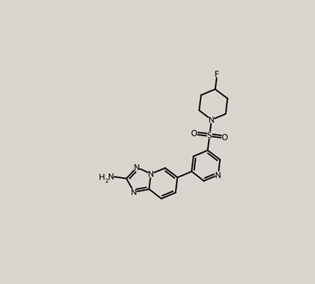 Nc1nc2ccc(-c3cncc(S(=O)(=O)N4CCC(F)CC4)c3)cn2n1